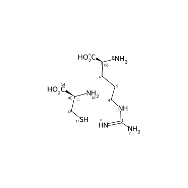 N=C(N)NCCC[C@H](N)C(=O)O.N[C@@H](CS)C(=O)O